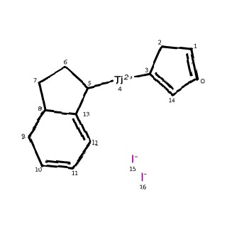 C1=CC[C]([Ti+2][CH]2CCC3CC=CC=C32)=C1.[I-].[I-]